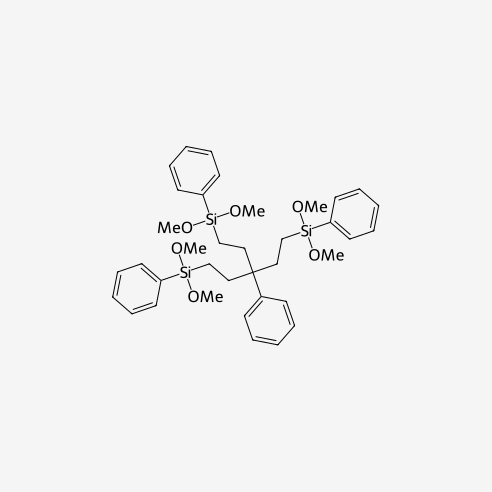 CO[Si](CCC(CC[Si](OC)(OC)c1ccccc1)(CC[Si](OC)(OC)c1ccccc1)c1ccccc1)(OC)c1ccccc1